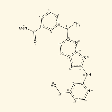 CNC(=O)c1cccc(N(C)c2ccc3nc(Nc4cc(CO)ccn4)sc3n2)c1